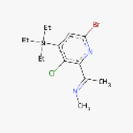 CC[Si](CC)(CC)c1cc(Br)nc(/C(C)=N/C)c1Cl